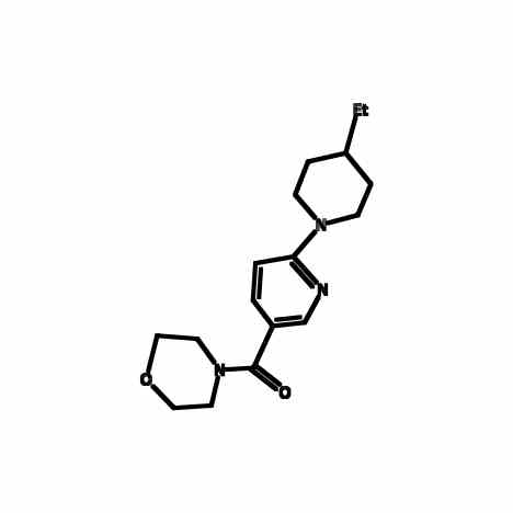 CCC1CCN(c2ccc(C(=O)N3CCOCC3)cn2)CC1